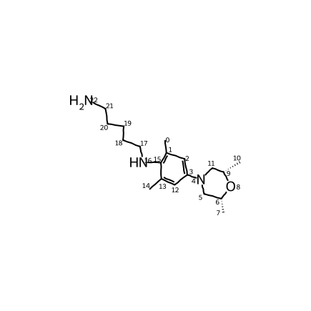 Cc1cc(N2C[C@@H](C)O[C@@H](C)C2)cc(C)c1NCCCCCN